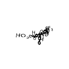 CS(=O)(=O)c1cc(NC(=O)N(Cc2ccc(C(=O)NCCC(=O)O)cc2)C2CCC(C3CCCCC3)CC2)ccc1OC(F)(F)F